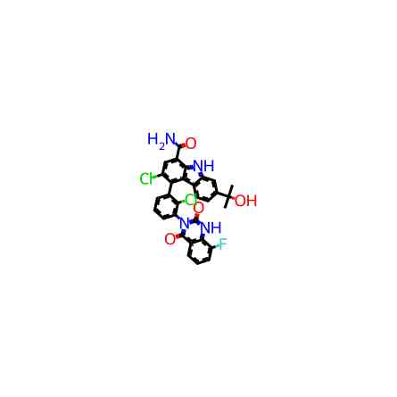 CC(C)(O)c1ccc2c(c1)[nH]c1c(C(N)=O)cc(Cl)c(-c3cccc(-n4c(=O)[nH]c5c(F)cccc5c4=O)c3Cl)c12